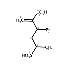 C=C(C(=O)O)C(Br)CC(C)S(=O)(=O)O